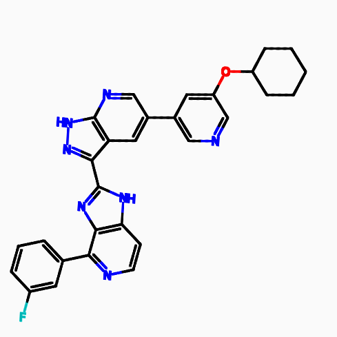 Fc1cccc(-c2nccc3[nH]c(-c4n[nH]c5ncc(-c6cncc(OC7CCCCC7)c6)cc45)nc23)c1